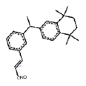 CC(c1cccc(/C=C/C=O)c1)c1ccc2c(c1)C(C)(C)CCC2(C)C